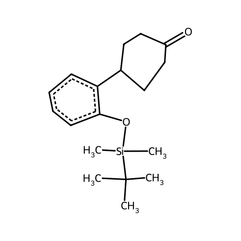 CC(C)(C)[Si](C)(C)Oc1ccccc1C1CCC(=O)CC1